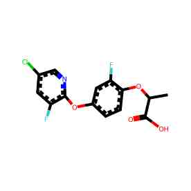 CC(Oc1ccc(Oc2ncc(Cl)cc2F)cc1F)C(=O)O